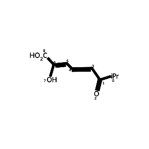 CC(C)C(=O)C=CC=C(O)C(=O)O